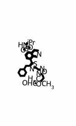 CC(C)NS(=O)(=O)c1ccc(-c2sc(-c3noc(CC(C)(C)OC=O)n3)nc2CC2CCCCC2)c2cnccc12